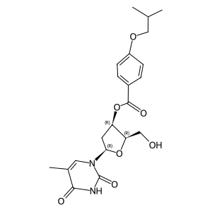 Cc1cn([C@H]2C[C@@H](OC(=O)c3ccc(OCC(C)C)cc3)[C@@H](CO)O2)c(=O)[nH]c1=O